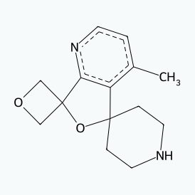 Cc1ccnc2c1C1(CCNCC1)OC21COC1